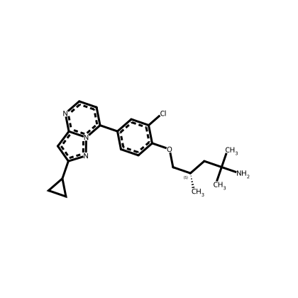 C[C@H](COc1ccc(-c2ccnc3cc(C4CC4)nn23)cc1Cl)CC(C)(C)N